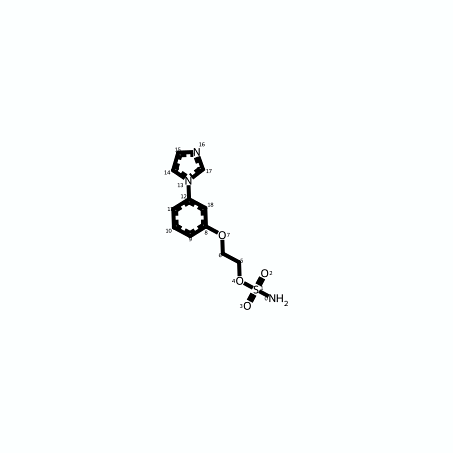 NS(=O)(=O)OCCOc1cccc(-n2ccnc2)c1